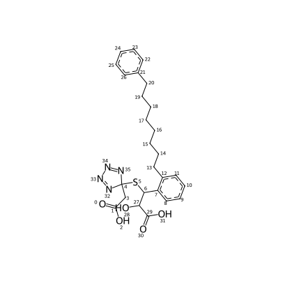 O=C(O)CC1(SC(c2ccccc2CCCCCCCCc2ccccc2)C(O)C(=O)O)N=NN=N1